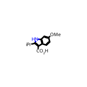 COc1ccc2c(C(=O)O)c(C(C)C)[nH]c2c1